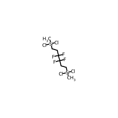 C[Si](Cl)(Cl)CCC(F)(F)C(F)(F)CC[Si](C)(Cl)Cl